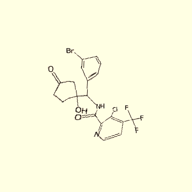 O=C1CCC(O)(C(NC(=O)c2nccc(C(F)(F)F)c2Cl)c2cccc(Br)c2)C1